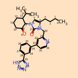 CCCCc1cn(C2C(=O)CCCC2C(C)C)c(=O)n1Cc1cc(-c2cccc(-c3nnn[nH]3)c2)ccn1